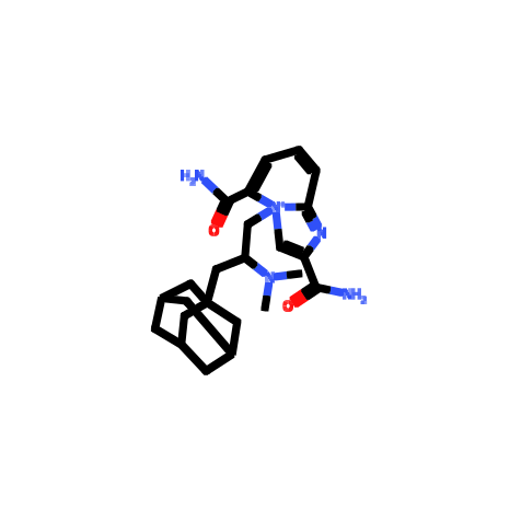 CN(C)C(CC12CC3CC(CC(C3)C1)C2)C[N+]12C=C(C(N)=O)N=C1C=CC=C2C(N)=O